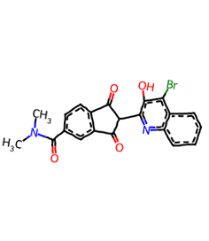 CN(C)C(=O)c1ccc2c(c1)C(=O)C(c1nc3ccccc3c(Br)c1O)C2=O